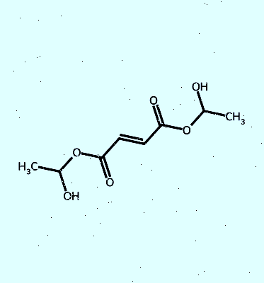 CC(O)OC(=O)C=CC(=O)OC(C)O